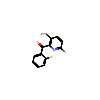 CNc1ccc(Cl)nc1C(=O)c1ccccc1F